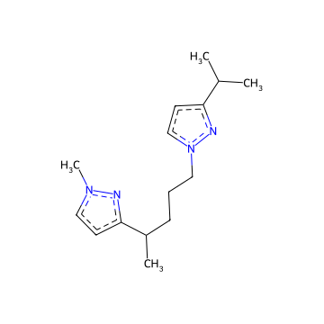 CC(C)c1ccn(CCCC(C)c2ccn(C)n2)n1